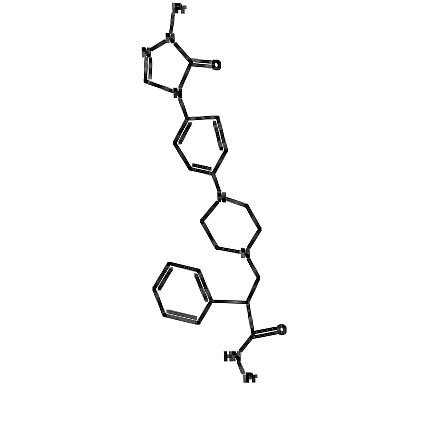 CC(C)NC(=O)C(CN1CCN(c2ccc(-n3cnn(C(C)C)c3=O)cc2)CC1)c1ccccc1